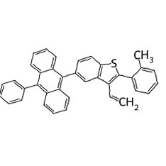 C=Cc1c(-c2ccccc2C)sc2ccc(-c3c4ccccc4c(-c4ccccc4)c4ccccc34)cc12